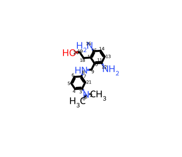 CN(C)c1cccc(NCc2c(N)ccc(N)c2CCO)c1